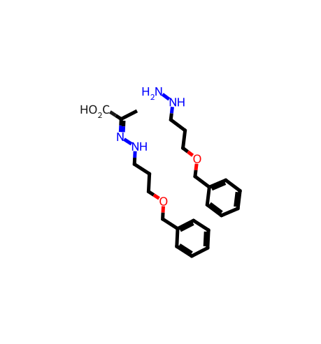 CC(=NNCCCOCc1ccccc1)C(=O)O.NNCCCOCc1ccccc1